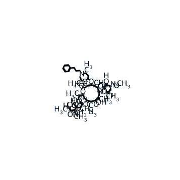 CO/N=C1\C[C@@H](C)O[C@@H](O[C@@H]2[C@@H](C)[C@H](O[C@H]3CC(C)N(CCCc4ccccc4)C[C@H](C)O3)[C@@H](C)C(=O)O[C@H]([C@@H](C)CO[C@@H]3O[C@H](C)[C@@H](O)[C@@H](OC)[C@H]3OC)[C@H](C)[C@@H](OC(=O)CC(C)C)[C@@H](C)C(=O)[C@@](C)(O)C[C@@H]2C)[C@@H]1O